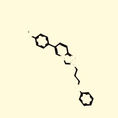 FC(F)(F)Oc1ccc(C2=CN3CN(CCCOc4ccccc4)N=C3C=C2)cc1